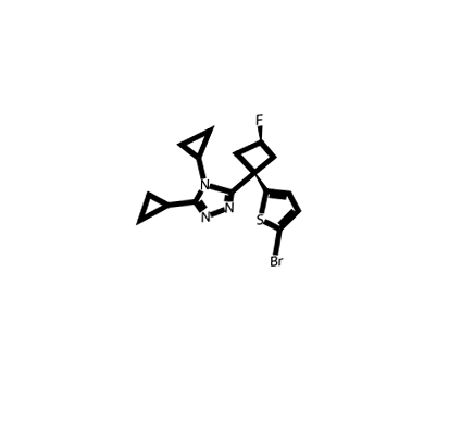 F[C@H]1C[C@](c2ccc(Br)s2)(c2nnc(C3CC3)n2C2CC2)C1